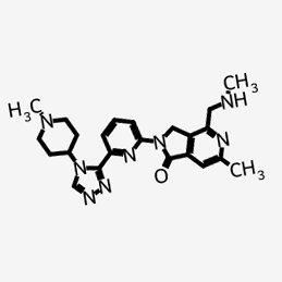 CNCc1nc(C)cc2c1CN(c1cccc(-c3nncn3C3CCN(C)CC3)n1)C2=O